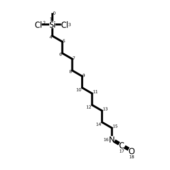 C[Si](Cl)(Cl)CCCCCCCCCCCCN=C=O